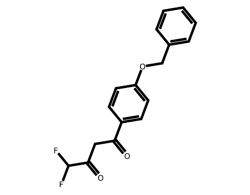 O=C(CC(=O)C(F)F)c1ccc(OCc2ccccc2)cc1